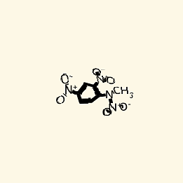 CN(c1ccc([N+](=O)[O-])cc1[N+](=O)[O-])[N+](=O)[O-]